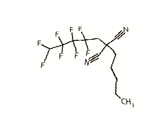 CCCCCC(C#N)(C#N)CC(F)(F)C(F)(F)C(F)(F)C(F)F